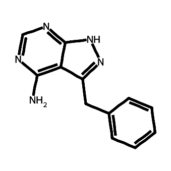 Nc1ncnc2[nH]nc(Cc3ccccc3)c12